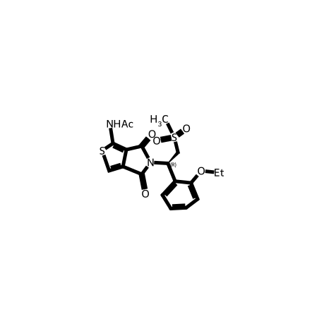 CCOc1ccccc1[C@H](CS(C)(=O)=O)N1C(=O)c2csc(NC(C)=O)c2C1=O